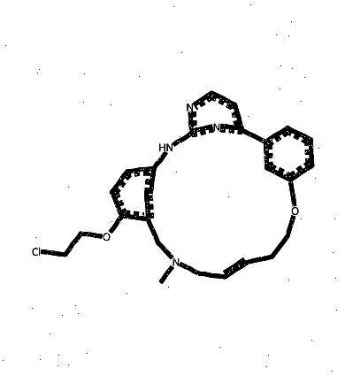 CN1C/C=C/CCOc2cccc(c2)-c2ccnc(n2)Nc2ccc(OCCCl)c(c2)C1